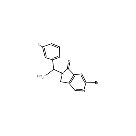 O=C(O)C(c1cccc(F)c1)N1Cc2cnc(Br)cc2C1=O